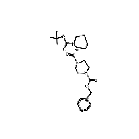 CC(C)(C)OC(=O)N1CCCC[C@@H]1C(=O)N1CCN(C(=O)OCc2ccccc2)CC1